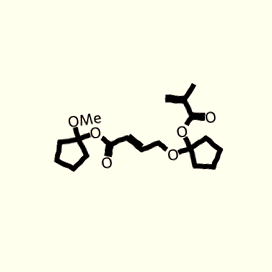 C=C(C)C(=O)OC1(OC/C=C/C(=O)OC2(OC)CCCC2)CCCC1